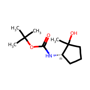 CC(C)(C)OC(=O)N[C@H]1CCCC1(C)O